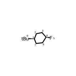 CC(C)(C)[C@H]1CC[C@@H](F)CC1